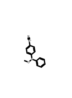 CON(c1ccccc1)c1ccc([N+]#N)cc1